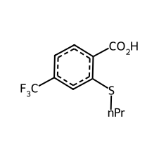 CCCSc1cc(C(F)(F)F)ccc1C(=O)O